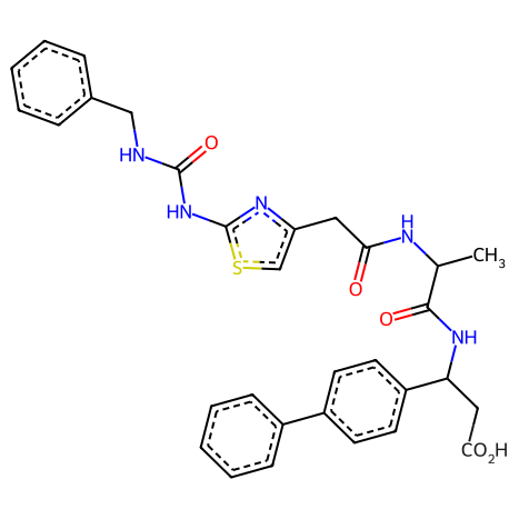 CC(NC(=O)Cc1csc(NC(=O)NCc2ccccc2)n1)C(=O)NC(CC(=O)O)c1ccc(-c2ccccc2)cc1